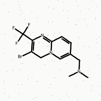 CN(C)CC1=CN2CC(Br)=C(C(F)(F)F)N=C2C=C1